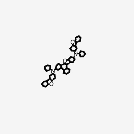 c1ccc(N(c2ccc3c(c2)oc2c4ccc(N(c5ccccc5)c5ccc6oc7ccccc7c6c5)cc4c4ccccc4c32)c2ccc3oc4ccccc4c3c2)cc1